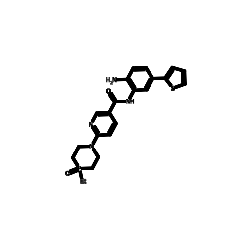 CCP1(=O)CCN(c2ccc(C(=O)Nc3cc(-c4cccs4)ccc3N)cn2)CC1